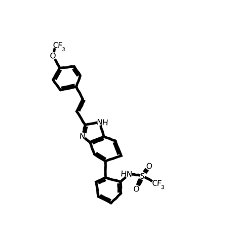 O=S(=O)(Nc1ccccc1-c1ccc2[nH]c(C=Cc3ccc(OC(F)(F)F)cc3)nc2c1)C(F)(F)F